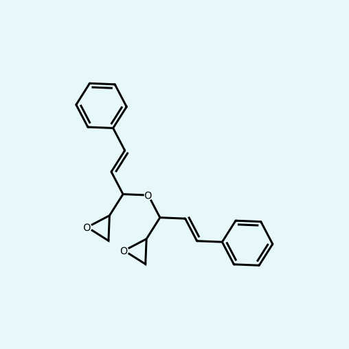 C(=CC(OC(C=Cc1ccccc1)C1CO1)C1CO1)c1ccccc1